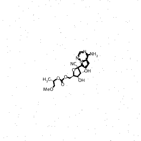 COC[C@H](C)OC(=O)OC[C@H]1O[C@@](C#N)(c2ccc3c(N)ncnn23)[C@H](O)[C@@H]1O